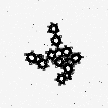 c1ccc(-c2ccc(N(c3ccc(-c4cccc5c4sc4ccccc45)cc3)c3cccc4c3-c3ccccc3C43c4ccccc4-c4cc5oc6ccccc6c5cc43)cc2)cc1